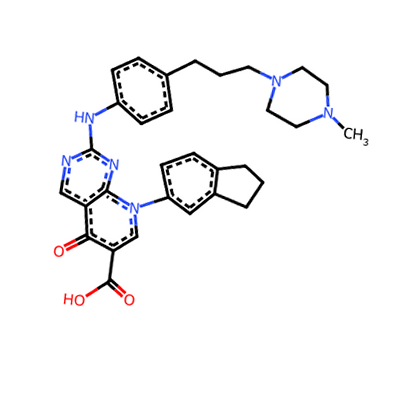 CN1CCN(CCCc2ccc(Nc3ncc4c(=O)c(C(=O)O)cn(-c5ccc6c(c5)CCC6)c4n3)cc2)CC1